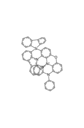 c1ccc(N2c3cccc4c3[N+]3(c5c(ccc6c5-n5c7c(cccc7c7ccc[n+]3c75)[Si]63c5ccccc5-c5ccccc53)O4)[n+]3ccccc32)cc1